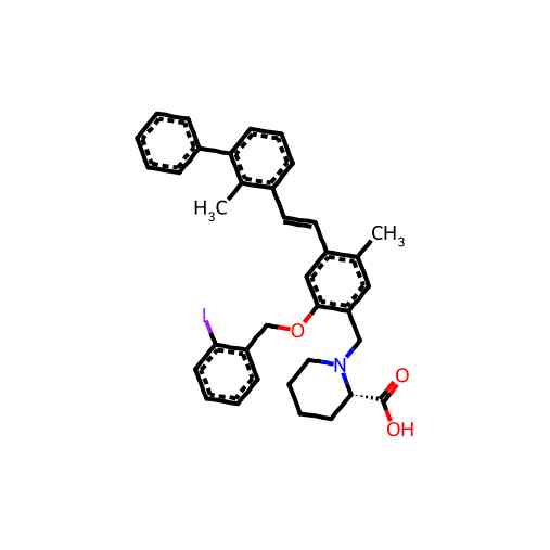 Cc1cc(CN2CCCC[C@H]2C(=O)O)c(OCc2ccccc2I)cc1/C=C/c1cccc(-c2ccccc2)c1C